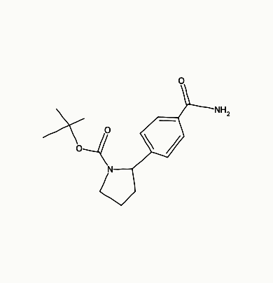 CC(C)(C)OC(=O)N1CCCC1c1ccc(C(N)=O)cc1